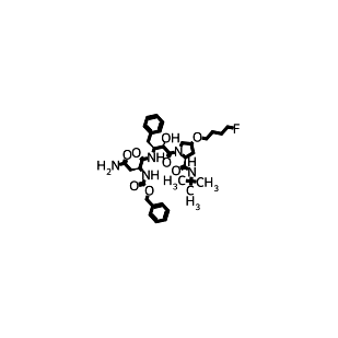 CC(C)(C)NC(=O)[C@@H]1CC(OCCCCF)CN1C(=O)[C@@H](O)[C@H](Cc1ccccc1)NC(=O)[C@H](CC(N)=O)NC(=O)OCc1ccccc1